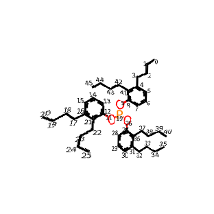 CCCCc1cccc(OP(Oc2cccc(CCCC)c2CCCC)Oc2cccc(CCCC)c2CCCC)c1CCCC